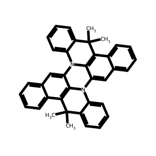 CC1(C)c2ccccc2N2c3cc4ccccc4c4c3N(c3ccccc3C4(C)C)c3cc4ccccc4c1c32